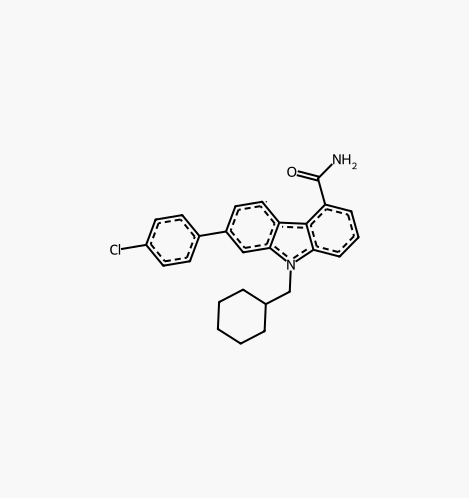 NC(=O)c1cccc2c1c1[c]cc(-c3ccc(Cl)cc3)cc1n2CC1CCCCC1